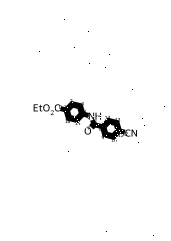 CCOC(=O)c1ccc(NC(=O)c2ccc(C#N)cc2)cc1